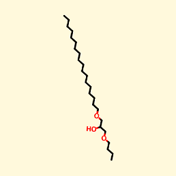 CCCCCCCCCCCCCCCCCCOCC(O)COCCCC